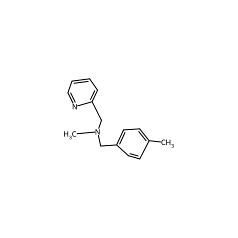 Cc1ccc(CN(C)Cc2ccccn2)cc1